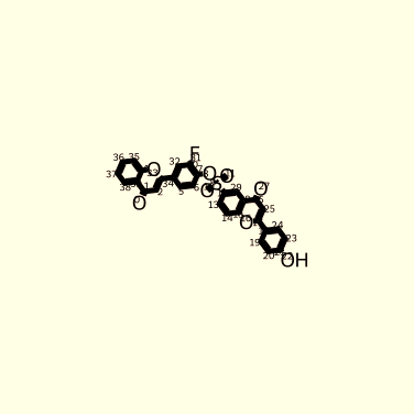 O=c1cc(-c2ccc(OS(=O)(=O)c3ccc4oc(-c5ccc(O)cc5)cc(=O)c4c3)c(F)c2)oc2ccccc12